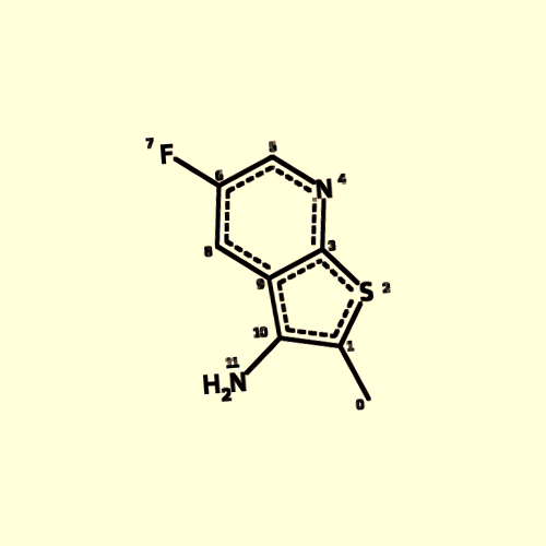 Cc1sc2ncc(F)cc2c1N